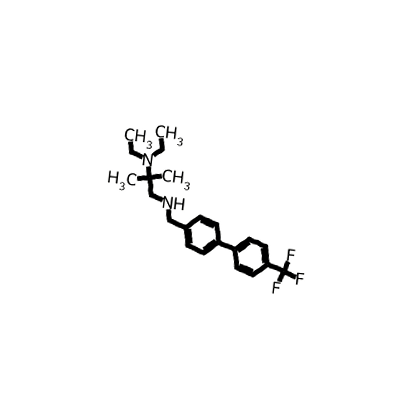 CCN(CC)C(C)(C)CNCc1ccc(-c2ccc(C(F)(F)F)cc2)cc1